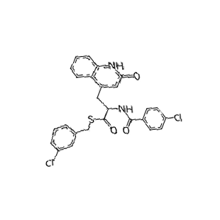 O=C(NC(Cc1cc(=O)[nH]c2ccccc12)C(=O)SCc1cccc(Cl)c1)c1ccc(Cl)cc1